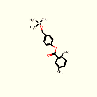 CC(=O)Oc1ccc(C)cc1C(=O)Oc1ccc(CO[Si](C)(C)C(C)(C)C)cc1